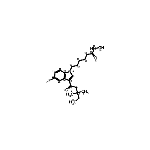 CCC(C)(C)CC(=O)c1cn(CCCCCC(=O)NO)c2ccc(F)cc12